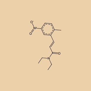 CCN(CC)C(=O)/C=C/c1cc([N+](=O)[O-])ccc1C